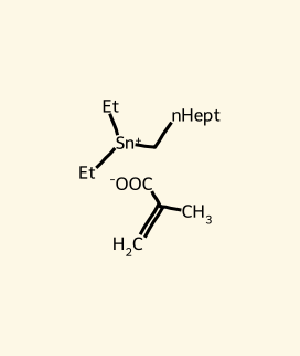 C=C(C)C(=O)[O-].CCCCCCC[CH2][Sn+]([CH2]C)[CH2]C